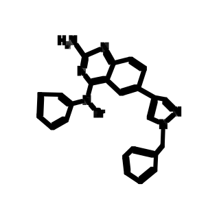 Nc1nc(N(Br)c2ccccc2)c2cc(-c3cnn(Cc4ccccc4)c3)ccc2n1